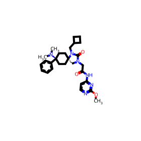 COc1nccc(NC(=O)CN2C[C@]3(CC[C@](c4ccccc4)(N(C)C)CC3)N(CC3CCC3)C2=O)n1